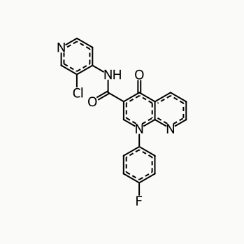 O=C(Nc1ccncc1Cl)c1cn(-c2ccc(F)cc2)c2ncccc2c1=O